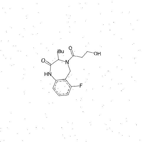 CCC(C)C1C(=O)Nc2cccc(F)c2CN1C(=O)CCO